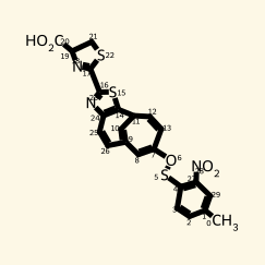 Cc1ccc(SOC2=CC3=CC(C=C2)c2sc(C4=NC(C(=O)O)CS4)nc2C=C3)c([N+](=O)[O-])c1